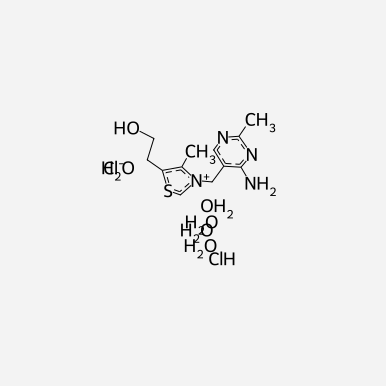 Cc1ncc(C[n+]2csc(CCO)c2C)c(N)n1.Cl.O.O.O.O.O.[Cl-]